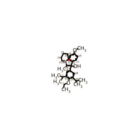 CCOc1c(C(C)C)cc(C(O)(c2ccc(OC)cc2)C(C)N2CCCCC2)cc1C(C)C